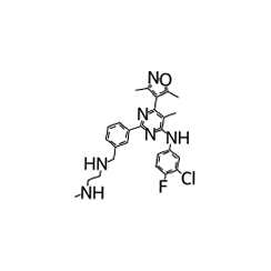 CNCCNCc1cccc(-c2nc(Nc3ccc(F)c(Cl)c3)c(C)c(-c3c(C)noc3C)n2)c1